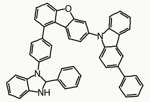 c1ccc(-c2ccc3c(c2)c2ccccc2n3-c2ccc3c(c2)oc2cccc(-c4ccc(N5c6ccccc6NC5c5ccccc5)cc4)c23)cc1